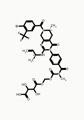 C=C[C@H](C)Nc1nc2c(c(=O)n1-c1ccc(C(=O)N(C)C(=O)OCOC(=O)C(O)C(O)C(=O)O)cc1)C[C@@H](C)N(C(=O)c1ccc(Br)c(C(F)(F)F)c1)C2